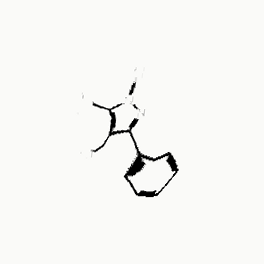 [CH2]c1c(Cl)c(-c2ccccc2)nn1C